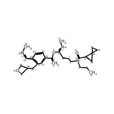 C=C(O/C(CCCN(CCC)C(=O)C1CC12CC2)=N\C)c1ccc(/C=N\C)c(CC2COC2)c1